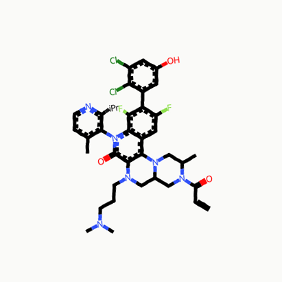 C=CC(=O)N1CC2CN(CCCN(C)C)c3c(c4cc(F)c(-c5cc(O)cc(Cl)c5Cl)c(F)c4n(-c4c(C)ccnc4C(C)C)c3=O)N2CC1C